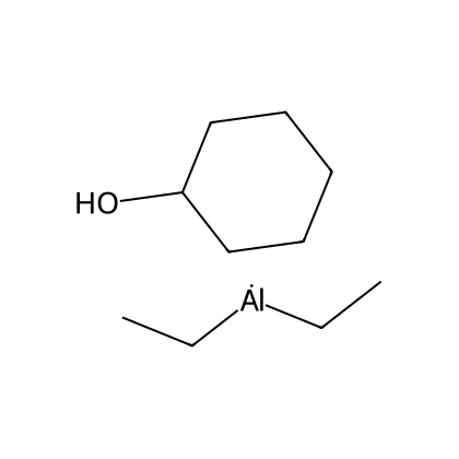 C[CH2][Al][CH2]C.OC1CCCCC1